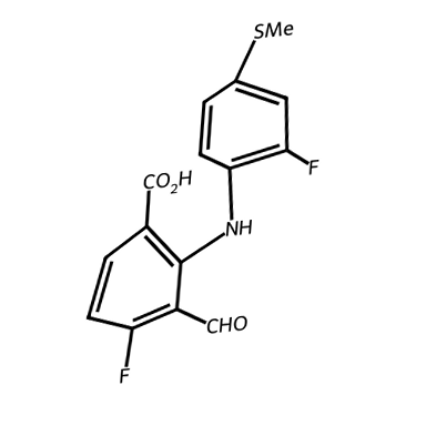 CSc1ccc(Nc2c(C(=O)O)ccc(F)c2C=O)c(F)c1